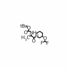 C[C@@H](NC(=O)OC(C)(C)C)C(=O)N1CCCC(OC(F)F)C1